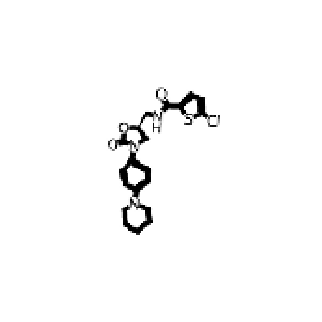 O=C(NC[C@H]1CN(c2ccc(N3CCCCC3)cc2)C(=O)O1)c1ccc(Cl)s1